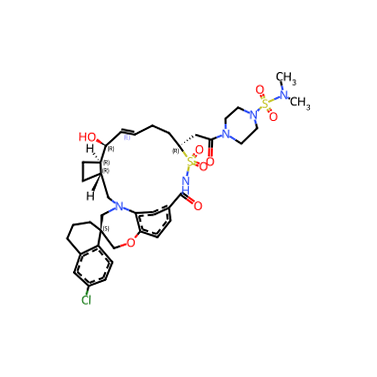 CN(C)S(=O)(=O)N1CCN(C(=O)C[C@H]2CC/C=C/[C@H](O)[C@@H]3CC[C@H]3CN3C[C@@]4(CCCc5cc(Cl)ccc54)COc4ccc(cc43)C(=O)NS2(=O)=O)CC1